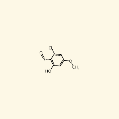 COc1cc(O)c(N=O)c(Cl)c1